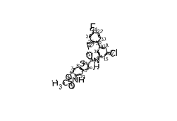 CS(=O)(=O)Nc1ccc2sc(C(=O)Nc3cc(Cl)cc(-c4ccc(F)cc4F)c3)cc2c1